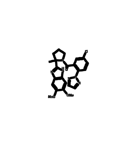 COc1cc2nc(C3(C)CCCN3C(=O)c3cc(Cl)ccc3-n3nccn3)[nH]c2cc1OC